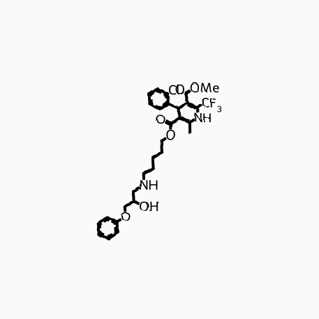 COC(=O)C1=C(C(F)(F)F)NC(C)=C(C(=O)OCCCCCNCC(O)COc2ccccc2)C1c1ccccc1Cl